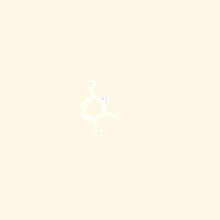 Clc1ccc(Br)nc1I